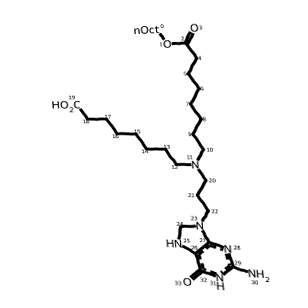 CCCCCCCCOC(=O)CCCCCCCN(CCCCCCCC(=O)O)CCCN1CNc2c1nc(N)[nH]c2=O